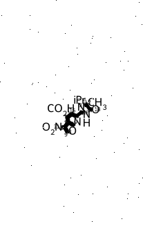 CC(C)C1(C)N=C(c2nc3occ([N+](=O)[O-])c3cc2C(=O)O)NC1=O